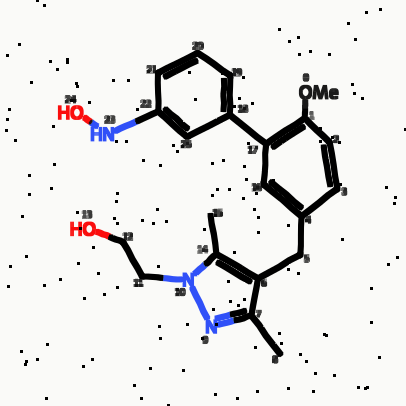 COc1ccc(Cc2c(C)nn(CCO)c2C)cc1-c1cccc(NO)c1